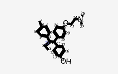 C/C=C(/c1ccc(C)cc1)C(c1ccc(O)cc1)c1ccc(OCCN(C)C)cc1